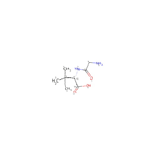 CC(C)(C)[C@H](NC(=O)CN)C(=O)O